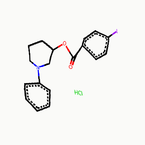 Cl.O=C(OC1CCCN(c2ccccc2)C1)c1ccc(I)cc1